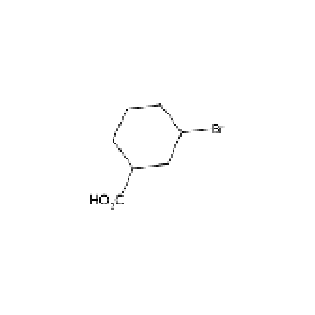 O=C(O)C1CCCC(Br)C1